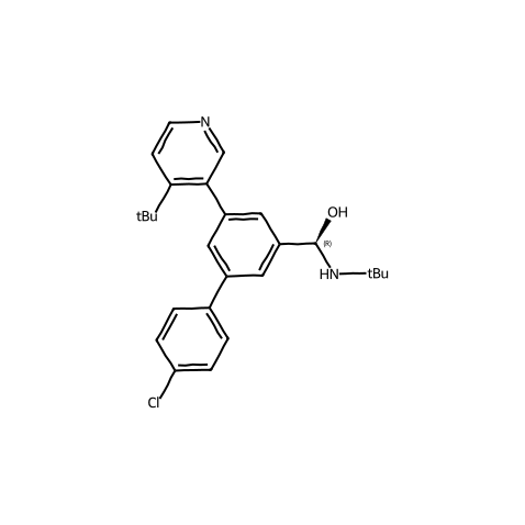 CC(C)(C)N[C@H](O)c1cc(-c2ccc(Cl)cc2)cc(-c2cnccc2C(C)(C)C)c1